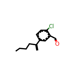 C=C(CCCC)c1ccc(Cl)c(C=O)c1